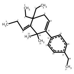 CC/C=C1\C(CC)(CC)CC=C(c2ccc(CC)cc2)C1(C)N